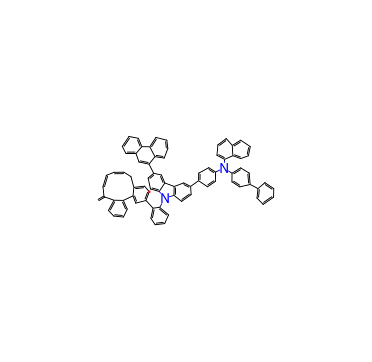 C=C1/C=C\C=C/Cc2ccc(-c3ccccc3-n3c4ccc(-c5ccc(N(c6ccc(-c7ccccc7)cc6)c6cccc7ccccc67)cc5)cc4c4cc(-c5cc6ccccc6c6ccccc56)ccc43)cc2-c2ccccc21